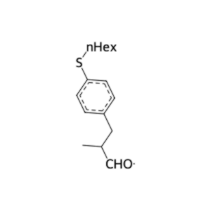 CCCCCCSc1ccc(CC(C)[C]=O)cc1